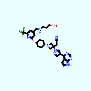 N#CCC1(n2cc(-c3ncnc4[nH]ccc34)cn2)CN([C@H]2CC[C@@H](Oc3cc(CNCCCO)cc(C(F)(F)F)n3)CC2)C1